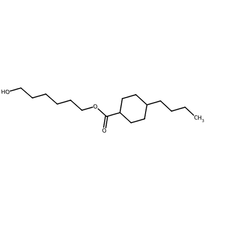 CCCCC1CCC(C(=O)OCCCCCCO)CC1